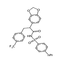 CCCc1ccc(S(=O)(=O)NC(=O)C(Cc2ccc(C(F)(F)F)cc2)c2ccc3c(c2)OCO3)cc1